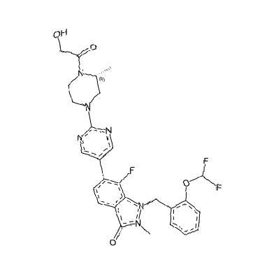 C[C@@H]1CN(c2ncc(-c3ccc4c(=O)n(C)n(Cc5ccccc5OC(F)F)c4c3F)cn2)CCN1C(=O)CO